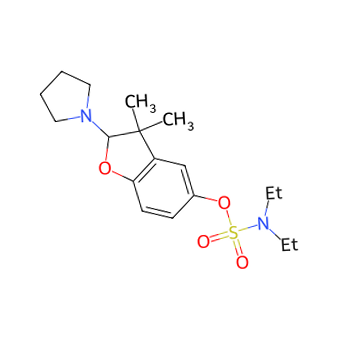 CCN(CC)S(=O)(=O)Oc1ccc2c(c1)C(C)(C)C(N1CCCC1)O2